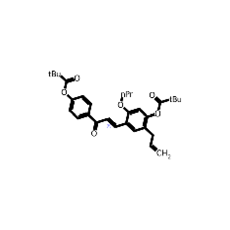 C=CCc1cc(/C=C/C(=O)c2ccc(OC(=O)C(C)(C)C)cc2)c(OCCC)cc1OC(=O)C(C)(C)C